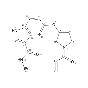 C=CC(=O)N1CCC(Oc2cnc3[nH]cc(C(=O)NC(C)C)c3n2)C1